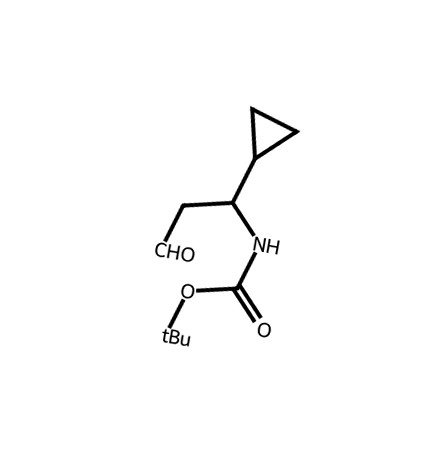 CC(C)(C)OC(=O)NC(CC=O)C1CC1